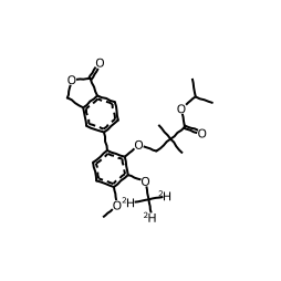 [2H]C([2H])([2H])Oc1c(OC)ccc(-c2ccc3c(c2)COC3=O)c1OCC(C)(C)C(=O)OC(C)C